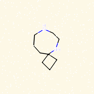 C1CNCCNC2(C1)CCC2